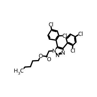 CCCCCOC(=O)Cn1nnc(-c2ccc(Cl)cc2Cl)c1-c1ccc(Cl)cc1Cl